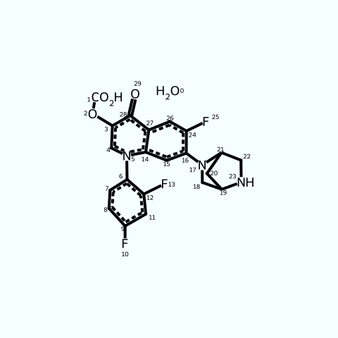 O.O=C(O)Oc1cn(-c2ccc(F)cc2F)c2cc(N3CC4CC3CN4)c(F)cc2c1=O